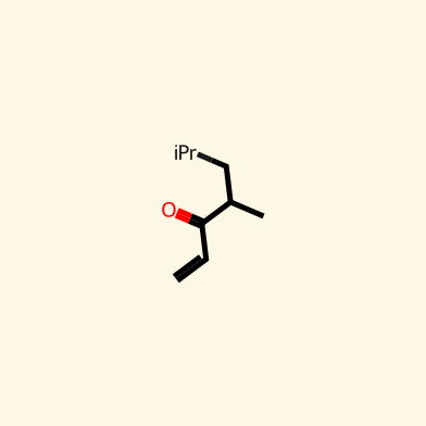 C=CC(=O)C(C)CC(C)C